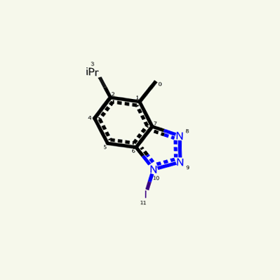 Cc1c(C(C)C)ccc2c1nnn2I